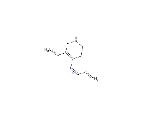 C=C/C=C\C1=C(C=C)CNCC1